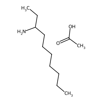 CC(=O)O.CCCCCCCC(N)CC